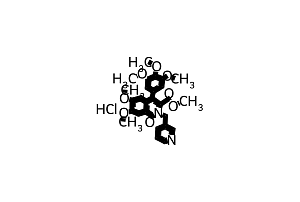 COC(=O)c1c(-c2cc(OC)c(OC)c(OC)c2)c2cc(OC)c(OC)cc2c(=O)n1Cc1cccnc1.Cl